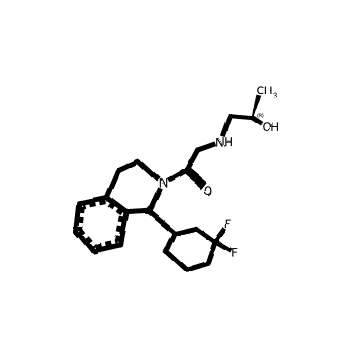 C[C@@H](O)CNCC(=O)N1CCc2ccccc2C1C1CCCC(F)(F)C1